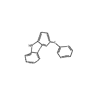 c1ccc(Sc2ccc3[nH]c4ccccc4c3c2)cc1